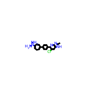 Cc1nc2nc(-c3ccc(C4=CCC=C(N(N)N)C=C4)cc3)c(Cl)cc2[nH]1